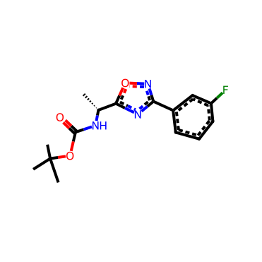 C[C@@H](NC(=O)OC(C)(C)C)c1nc(-c2cccc(F)c2)no1